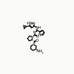 N[C@H]1CCCN(C(=O)[C@@H]2CCCN2c2nc(Nc3cc(C4CC4)[nH]n3)c3cccn3n2)C1